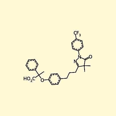 CC1(C)C(=O)N(c2ccc(C(F)(F)F)cc2)N=C1CCCc1ccc(OC(C)(C(=O)O)c2ccccc2)cc1